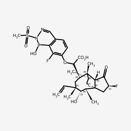 C=C[C@]1(C)C[C@@H](C(Oc2ccc3c(c2F)B(O)N(S(C)(=O)=O)N=C3)C(=O)O)[C@@]2(C)[C@H](C)CC[C@]3(C[C@H](F)C(=O)[C@H]32)[C@@H](C)[C@@H]1O